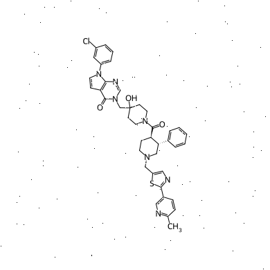 Cc1ccc(-c2ncc(CN3CC[C@@H](C(=O)N4CCC(O)(Cn5cnc6c(ccn6-c6cccc(Cl)c6)c5=O)CC4)[C@H](c4ccccc4)C3)s2)cn1